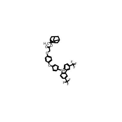 CC1(OC(=O)COc2ccc(Oc3ccc([SH]4c5ccc(C(F)(F)F)cc5-c5cc(C(F)(F)F)ccc54)cc3)cc2)C2CC3CC(C2)CC1C3